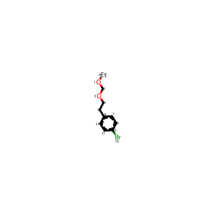 CCOCOCCc1ccc(Br)cc1